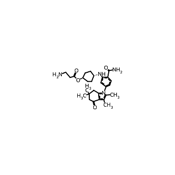 Cc1c2c(n(-c3ccc(C(N)=O)c(N[C@H]4CC[C@H](OC(=O)CCN)CC4)c3)c1C)CC(C)(C)CC2=O